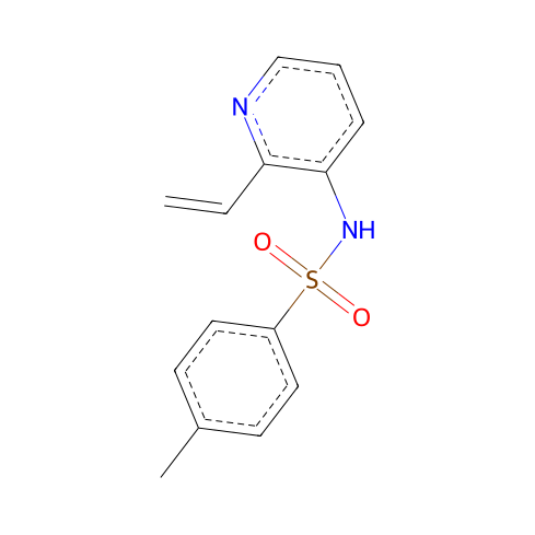 C=Cc1ncccc1NS(=O)(=O)c1ccc(C)cc1